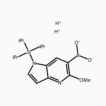 COc1nc2ccn([Si](C(C)C)(C(C)C)C(C)C)c2cc1B([O-])[O-].[H+].[H+]